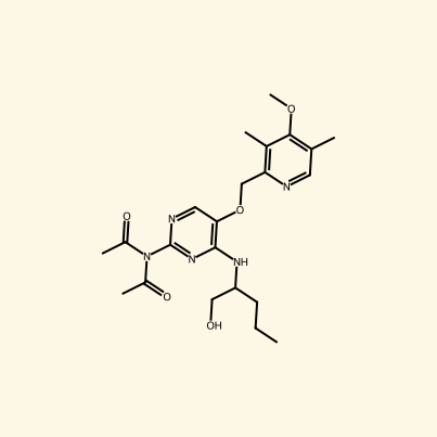 CCCC(CO)Nc1nc(N(C(C)=O)C(C)=O)ncc1OCc1ncc(C)c(OC)c1C